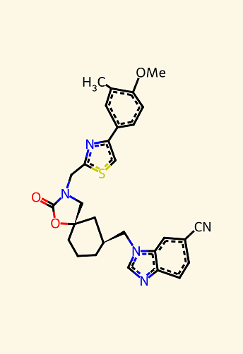 COc1ccc(-c2csc(CN3C[C@@]4(CCC[C@H](Cn5cnc6ccc(C#N)cc65)C4)OC3=O)n2)cc1C